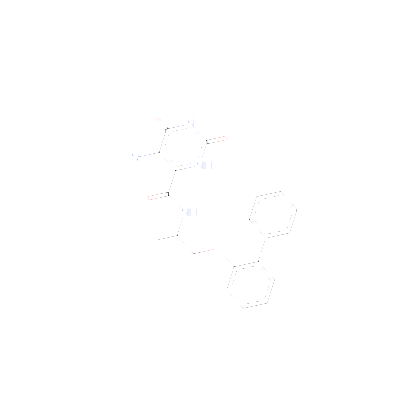 CC(COc1ccccc1-c1ccccc1)NC(=O)c1[nH]c(=O)[nH]c(=O)c1N